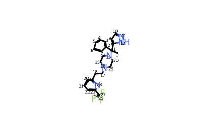 CC(c1ccccc1)(c1ccn[nH]1)N1CCN(CCc2cccc(C(F)(F)F)n2)CC1